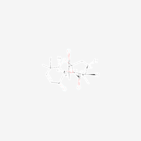 C[C@@H]1C(=O)[C@@]23CC[C@@H]1CC21O[C@@H]2C(C)(C)C=CC(=O)[C@]23COC1=O